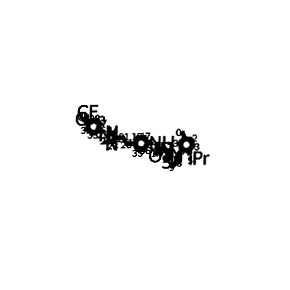 Cc1ccc(C(C)C)c(-n2ccsc2=NC(=O)Nc2ccc(CCc3ncn(-c4ccc(OC(F)(F)F)cc4)n3)cc2)c1